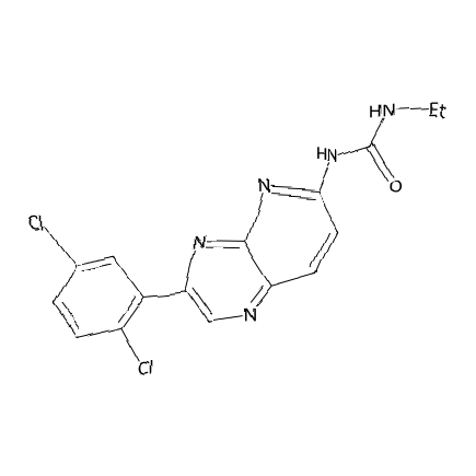 CCNC(=O)Nc1ccc2ncc(-c3cc(Cl)ccc3Cl)nc2n1